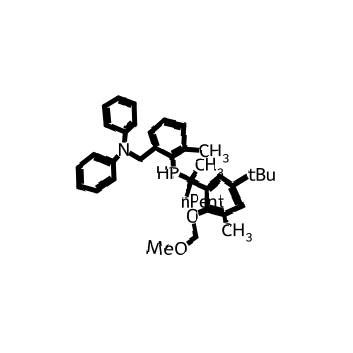 CCCCCC(C)(Pc1c(C)cccc1CN(c1ccccc1)c1ccccc1)c1cc(C(C)(C)C)cc(C)c1OCOC